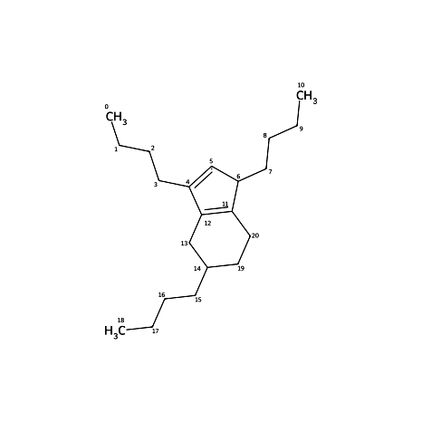 CCCCC1=[C]C(CCCC)C2=C1CC(CCCC)CC2